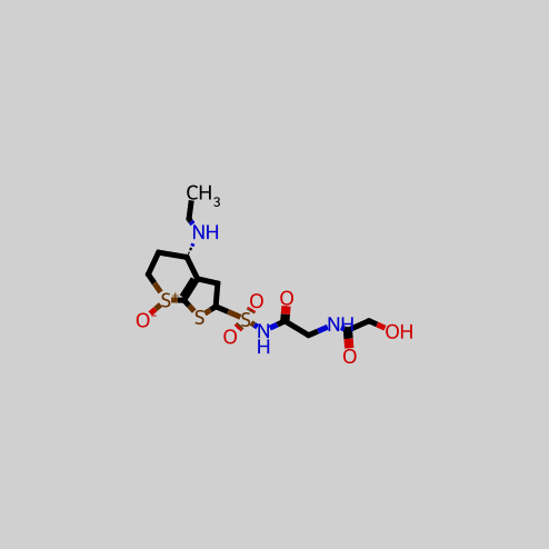 CCN[C@H]1CC[S+]([O-])C2=C1CC(S(=O)(=O)NC(=O)CNC(=O)CO)S2